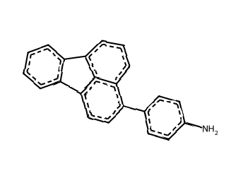 Nc1ccc(-c2ccc3c4c(cccc24)-c2ccccc2-3)cc1